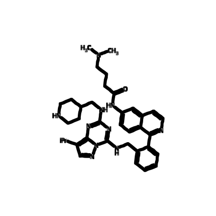 CC(C)c1cnn2c(NCc3ccccc3-c3nccc4cc(NC(=O)CCCN(C)C)ccc34)nc(NCC3CCNCC3)nc12